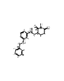 O=C1CCC(CNc2cccc(SCc3ccccc3)c2)C(=O)N1